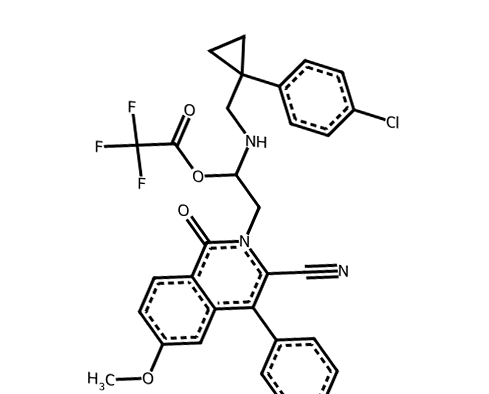 COc1ccc2c(=O)n(CC(NCC3(c4ccc(Cl)cc4)CC3)OC(=O)C(F)(F)F)c(C#N)c(-c3ccccc3)c2c1